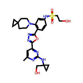 Cc1cc(-c2nnc(-c3ccc(NS(=O)(=O)CCO)cc3N3CCC4(CC3)CC4)o2)nc(NC2(CO)CC2)n1